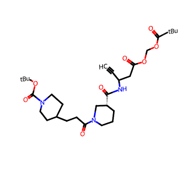 C#CC(CC(=O)OCOC(=O)C(C)(C)C)NC(=O)[C@@H]1CCCN(C(=O)CCC2CCN(C(=O)OC(C)(C)C)CC2)C1